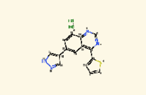 Cl.Cl.c1csc(-c2ncnc3ccc(-c4cn[nH]c4)cc23)c1